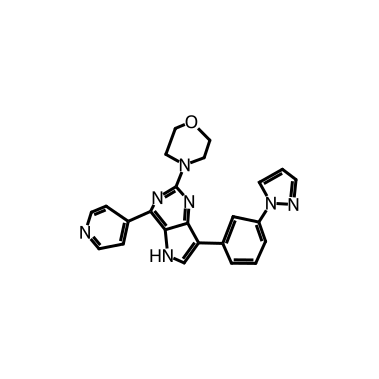 c1cc(-c2c[nH]c3c(-c4ccncc4)nc(N4CCOCC4)nc23)cc(-n2cccn2)c1